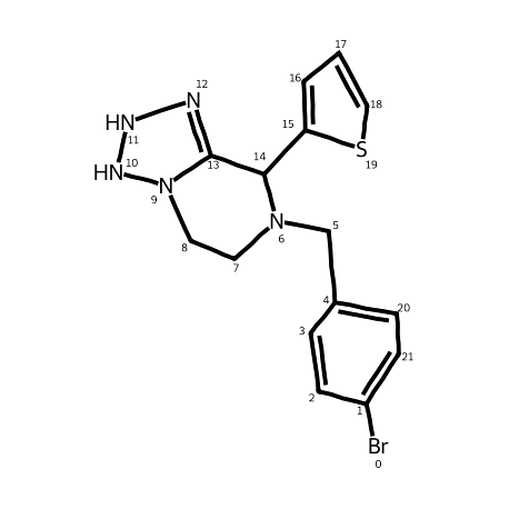 Brc1ccc(CN2CCN3NNN=C3C2c2cccs2)cc1